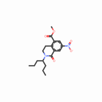 CCCC(CCC)N1CCc2c(C(=O)OC)cc([N+](=O)[O-])cc2C1=O